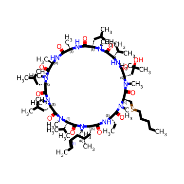 C/C=C/C[C@@H](C)C[C@H]1C(=O)N[C@@H](CC)C(=O)N(C)[C@H](CSCCCCC)C(=O)N(C)[C@@H](CC(C)(C)O)C(=O)N[C@@H](C(C)C)C(=O)N(C)[C@@H](CC(C)C)C(=O)N[C@@H](C)C(=O)N[C@H](C)C(=O)N(C)[C@@H](CC(C)C)C(=O)N(C)[C@@H](CC(C)C)C(=O)N(C)[C@@H](C(C)C)C(=O)N1C